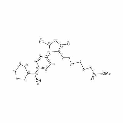 COC(=O)CCCCCCC1C(Cl)CC(O)C1c1ccc(C(O)C2CCCCC2)cc1